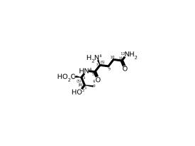 C[C@@H](O)[C@H](NC(=O)[C@@H](N)CCC(N)=O)C(=O)O